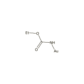 CCOC(=O)[NH][Au]